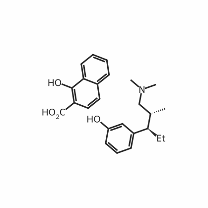 CC[C@@H](c1cccc(O)c1)[C@@H](C)CN(C)C.O=C(O)c1ccc2ccccc2c1O